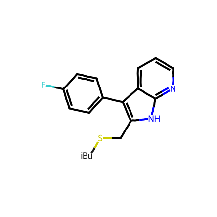 CCC(C)SCc1[nH]c2ncccc2c1-c1ccc(F)cc1